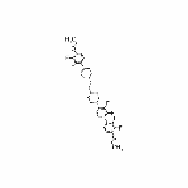 CCOc1ccc(C2=CCC(CCC3CCC(c4ccc(-c5ccc(OCC)c(F)c5F)c(F)c4F)CC3)CC2)c(F)c1F